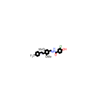 COc1cc(/C=N/NC(=O)c2ccc(O)c(Cl)c2)cc(OC)c1/C=C/c1ccc(C(F)(F)F)cc1